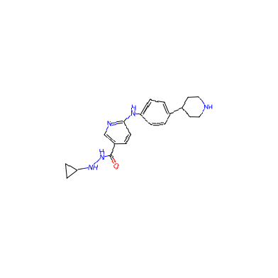 O=C(NNC1CC1)c1ccc(Nc2ccc(C3CCNCC3)cc2)nc1